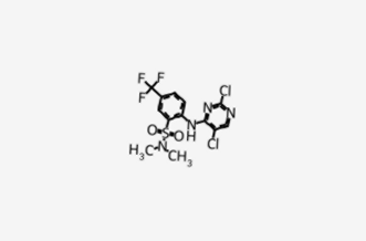 CN(C)S(=O)(=O)c1cc(C(F)(F)F)ccc1Nc1nc(Cl)ncc1Cl